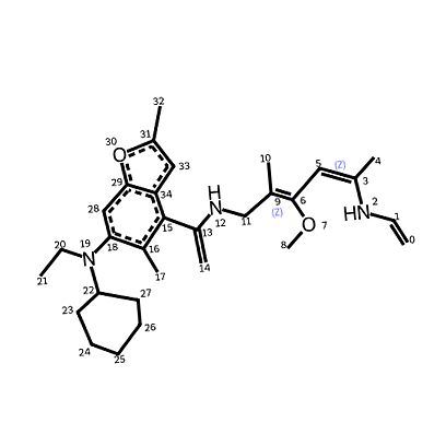 C=CN/C(C)=C\C(OC)=C(/C)CNC(=C)c1c(C)c(N(CC)C2CCCCC2)cc2oc(C)cc12